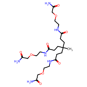 CC(CCC(=O)NCCOCC(N)=O)(CCC(=O)NCCOCC(N)=O)CCC(=O)NCCOCC(N)=O